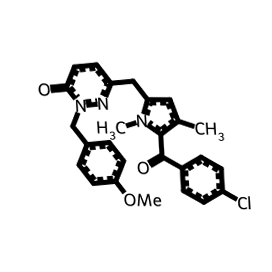 COc1ccc(Cn2nc(Cc3cc(C)c(C(=O)c4ccc(Cl)cc4)n3C)ccc2=O)cc1